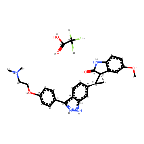 COc1ccc2c(c1)[C@]1(C[C@H]1c1ccc3c(-c4ccc(OCCN(C)C)cc4)n[nH]c3c1)C(=O)N2.O=C(O)C(F)(F)F